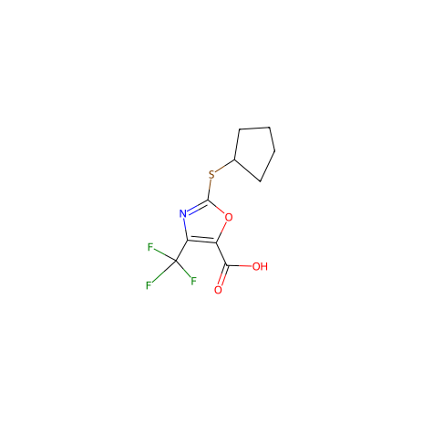 O=C(O)c1oc(SC2CCCC2)nc1C(F)(F)F